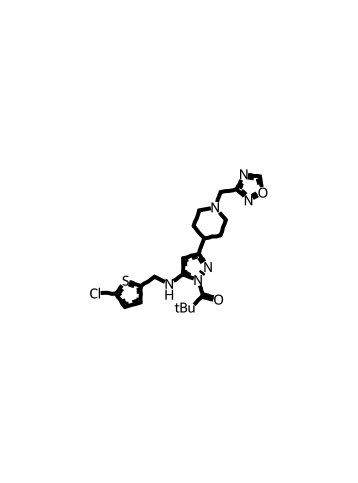 CC(C)(C)C(=O)n1nc(C2CCN(Cc3ncon3)CC2)cc1NCc1ccc(Cl)s1